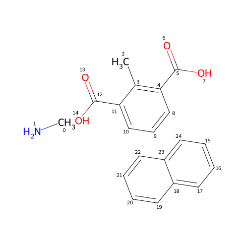 CN.Cc1c(C(=O)O)cccc1C(=O)O.c1ccc2ccccc2c1